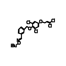 CCC(C)ON=Cc1cccc(COc2c(Cl)cc(OCC=C(Cl)Cl)cc2Cl)c1